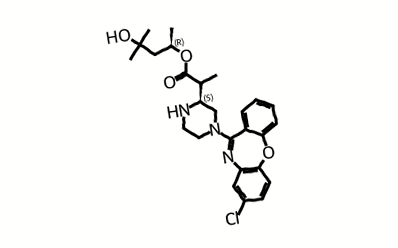 CC(C(=O)O[C@H](C)CC(C)(C)O)[C@H]1CN(C2=Nc3cc(Cl)ccc3Oc3ccccc32)CCN1